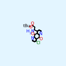 CC(C)(C)OC(=O)CC(N)c1ccnc2c1C(=O)c1nccc(Cl)c1C2=O